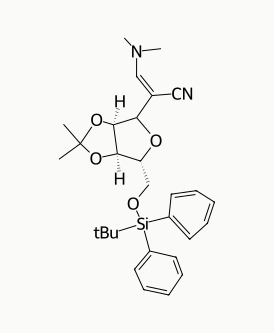 CN(C)C=C(C#N)C1O[C@H](CO[Si](c2ccccc2)(c2ccccc2)C(C)(C)C)[C@H]2OC(C)(C)O[C@@H]12